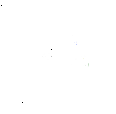 O=[N+]([O-])c1ccc(SCl)c2ncccc12